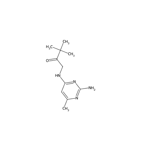 Cc1cc(NCC(=O)C(C)(C)C)nc(N)n1